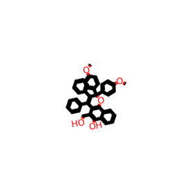 COc1ccc(C2(c3ccc(OC)cc3)Oc3c(c(CO)c(O)c4ccccc34)C(c3ccccc3)=C2c2ccccc2)cc1